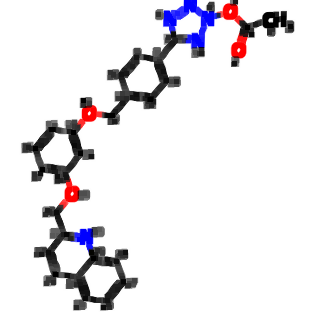 CC(=O)On1nnc(-c2ccc(COc3cccc(OCc4ccc5ccccc5n4)c3)cc2)n1